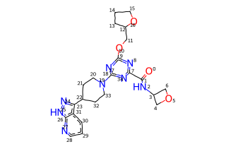 O=C(NC1COC1)c1nc(OCC2CCCO2)nc(N2CCC(c3n[nH]c4ncccc34)CC2)n1